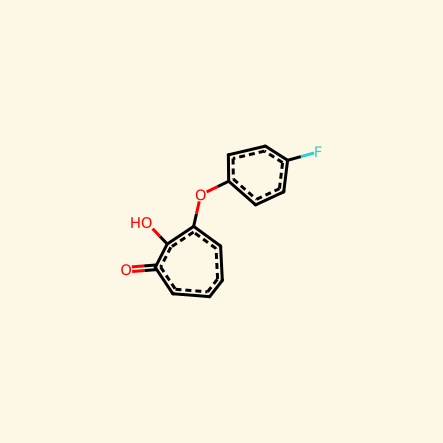 O=c1ccccc(Oc2ccc(F)cc2)c1O